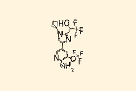 Nc1ncc(-c2cn(C34CC(C3)C4)c(C(O)C(F)(F)F)n2)cc1OC(F)(F)F